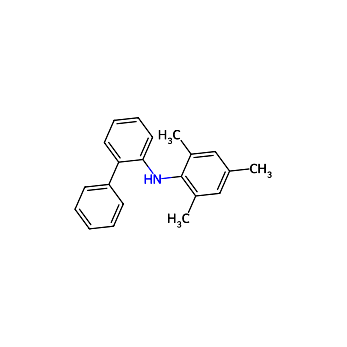 Cc1cc(C)c(Nc2ccccc2-c2ccccc2)c(C)c1